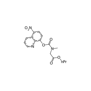 CCCOC(=O)CN(C)C(=O)Oc1ccc([N+](=O)[O-])c2cccnc12